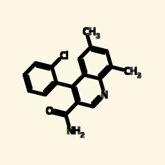 Cc1cc(C)c2ncc(C(N)=O)c(-c3ccccc3Cl)c2c1